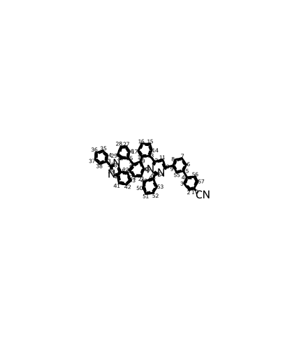 N#Cc1ccc(-c2cccc(-c3cc(-c4ccccc4-c4ccccc4-c4ccccc4-n4c(-c5ccccc5)nc5ccccc54)nc(-c4ccccc4)n3)c2)cc1